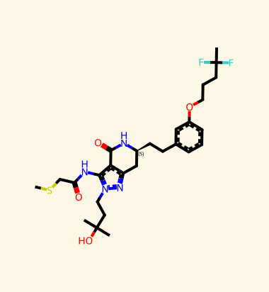 CSCC(=O)Nc1c2c(nn1CCC(C)(C)O)C[C@H](CCc1cccc(OCCCC(C)(F)F)c1)NC2=O